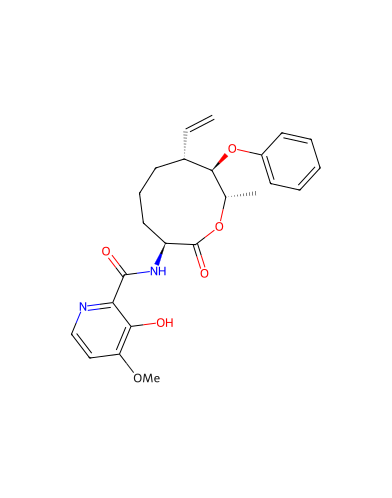 C=C[C@H]1CCC[C@H](NC(=O)c2nccc(OC)c2O)C(=O)O[C@@H](C)[C@@H]1Oc1ccccc1